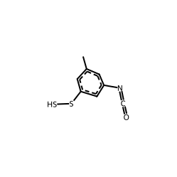 Cc1cc(N=C=O)cc(SS)c1